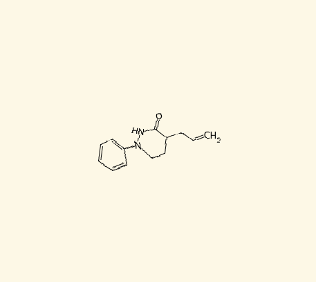 C=CCC1CCN(c2ccccc2)NC1=O